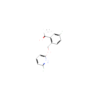 COC(=O)c1cc(Cl)ccc1COc1cccc(Cl)n1